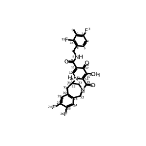 Cc1c(F)ccc(CNC(=O)c2cn3c(c(O)c2=O)C(=O)N2Cc4cc(F)c(F)cc4C[C@@H]3C2)c1F